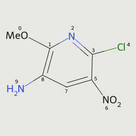 COc1nc(Cl)c([N+](=O)[O-])cc1N